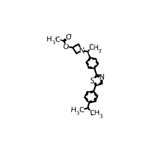 CC(=O)OC1CN(C(C)c2ccc(-c3ncc(-c4ccc(C(C)C)cc4)s3)cc2)C1